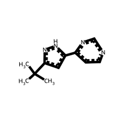 CC(C)(C)c1cc(-c2ccncn2)[nH]n1